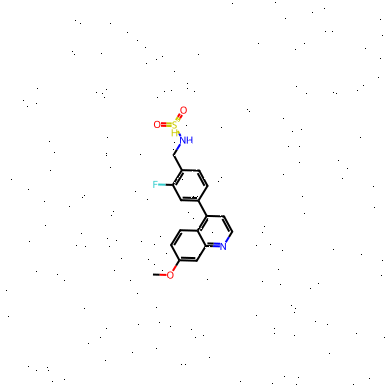 COc1ccc2c(-c3ccc(CN[SH](=O)=O)c(F)c3)ccnc2c1